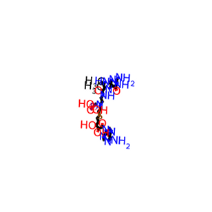 CC1(C)Nc2nc(N)[nH]c(=O)c2N=C1C(=O)NCCN(CCSCC1OC(n2cnc3c(N)ncnc32)C(O)C1O)CP(=O)(O)O